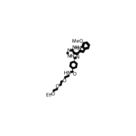 CCOCCOCCOCCNC(=O)[C@H]1CC[C@H](c2nc(-c3cc4cccc(OC)c4[nH]3)c3c(N)ncnn32)CC1